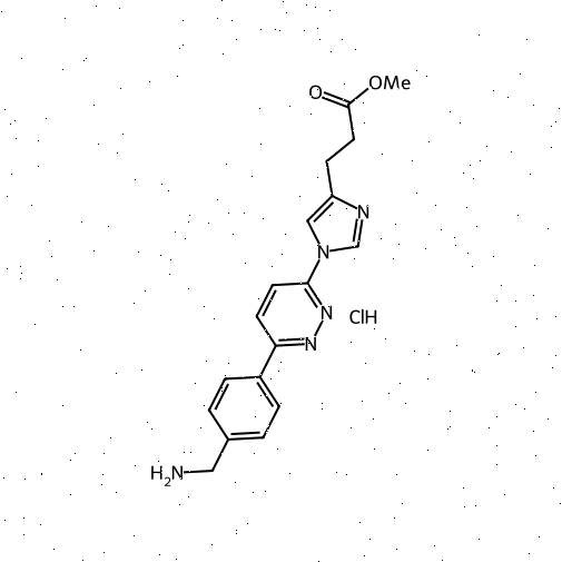 COC(=O)CCc1cn(-c2ccc(-c3ccc(CN)cc3)nn2)cn1.Cl